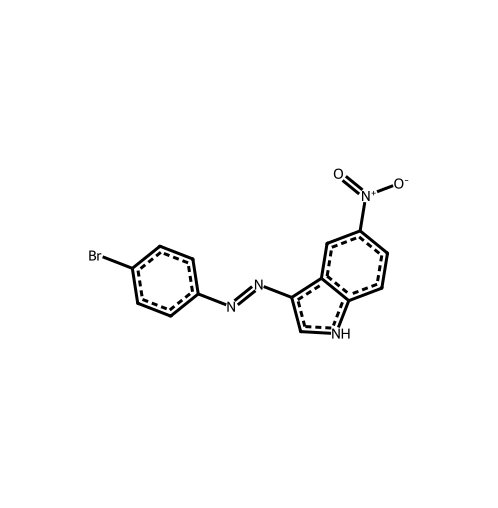 O=[N+]([O-])c1ccc2[nH]cc(N=Nc3ccc(Br)cc3)c2c1